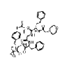 C[C@]1(C(=O)[C@H](Cc2ccccc2)NC(=O)[C@H](Cc2ccccc2)NC(=O)[C@H](COC(F)F)NC(=O)[C@H](CCc2ccccc2)NC(=O)CN2CCOCC2)CO1